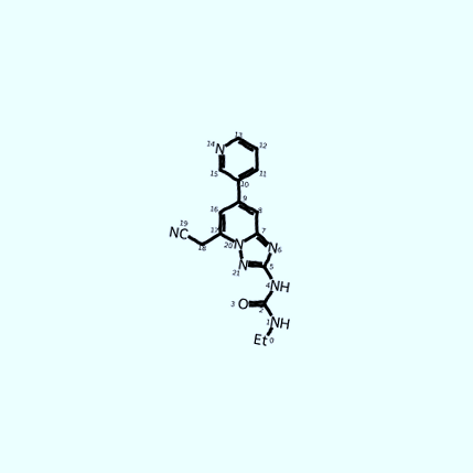 CCNC(=O)Nc1nc2cc(-c3cccnc3)cc(CC#N)n2n1